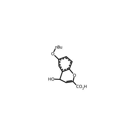 CCCCOc1ccc2c(c1)C(O)C=C(C(=O)O)O2